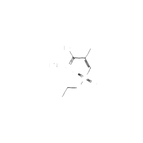 CCOS(=O)(=O)C=C(C)C(=O)O.N